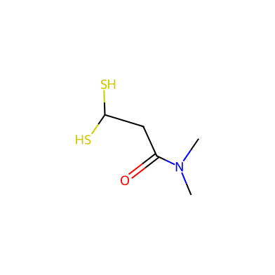 CN(C)C(=O)CC(S)S